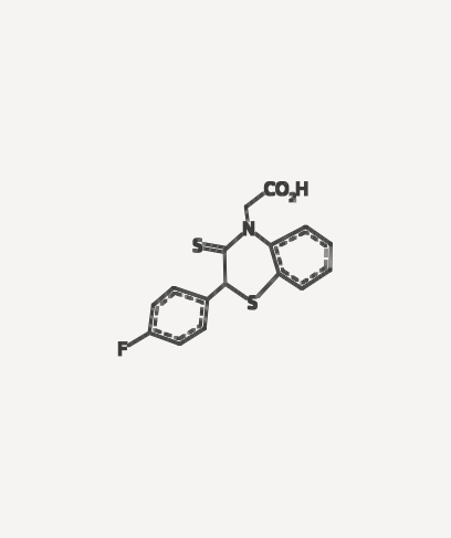 O=C(O)CN1C(=S)C(c2ccc(F)cc2)Sc2ccccc21